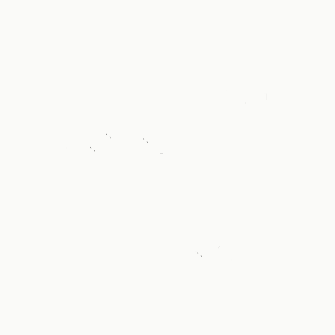 CCC(OC)Oc1cc(Oc2ccc(C(=O)N3CCCC3)cc2)cc(C(=O)Nc2ccn(C)n2)c1